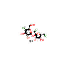 OC[C@H]1O[C@H](O[C@]2(CCl)O[C@H](CCl)[C@@H](O)[C@@H]2O)[C@H](O)[C@@H](O)[C@H]1Cl.[KH]